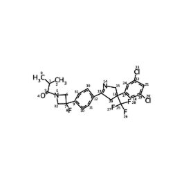 CC(C)C(=O)N1CC(F)(c2ccc(C3=NCC(c4cc(Cl)cc(Cl)c4)(C(F)(F)F)C3)cc2)C1